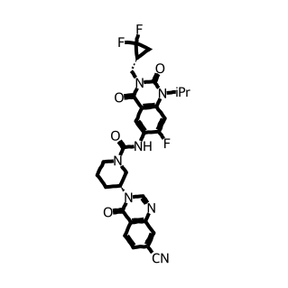 CC(C)n1c(=O)n(C[C@H]2CC2(F)F)c(=O)c2cc(NC(=O)N3CCC[C@@H](n4cnc5cc(C#N)ccc5c4=O)C3)c(F)cc21